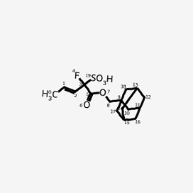 C/C=C/C(F)(C(=O)OCC12CC3CC(CC(C3)C1)C2)S(=O)(=O)O